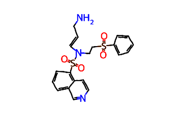 NCC=CN(CCS(=O)(=O)c1ccccc1)S(=O)(=O)c1cccc2cnccc12